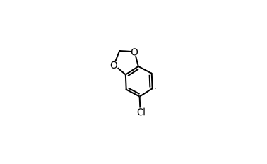 Clc1[c]cc2c(c1)OCO2